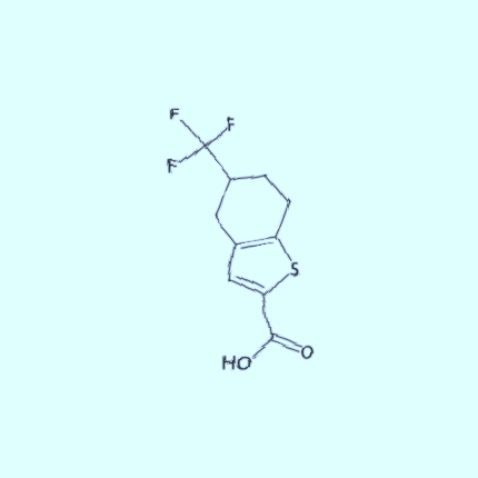 O=C(O)c1cc2c(s1)CCC(C(F)(F)F)C2